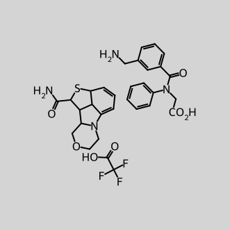 NC(=O)C1SC2C=CC=C3C2C1C1COCCN31.NCc1cccc(C(=O)N(CC(=O)O)c2ccccc2)c1.O=C(O)C(F)(F)F